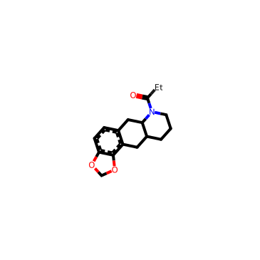 CCC(=O)N1CCCC2Cc3c(ccc4c3OCO4)CC21